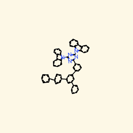 c1ccc(-c2ccc(-c3cc(-c4ccccc4)cc(-c4cccc(-c5nc(-n6c7ccccc7c7ccccc76)nc(-n6c7ccccc7c7ccccc76)n5)c4)c3)cc2)cc1